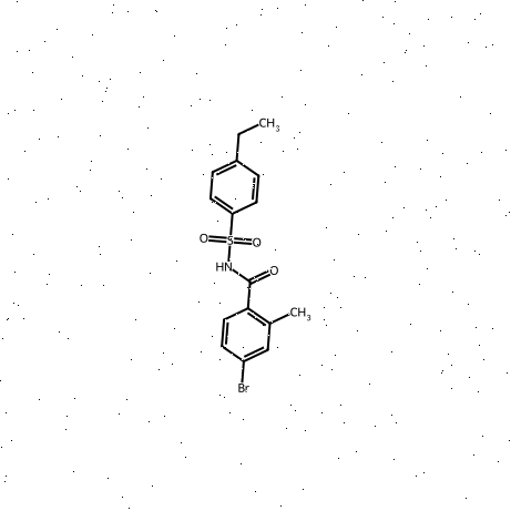 CCc1ccc(S(=O)(=O)NC(=O)c2ccc(Br)cc2C)cc1